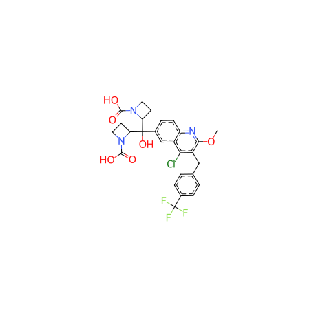 COc1nc2ccc(C(O)(C3CCN3C(=O)O)C3CCN3C(=O)O)cc2c(Cl)c1Cc1ccc(C(F)(F)F)cc1